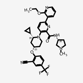 CCOc1ncccc1-c1ccc(N2CC[C@H](Oc3ccc(C(F)(F)F)cc3C#N)C[C@@H]2C2CC2)c(C(=O)N[C@@H]2CCN(C)C2)n1